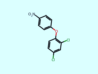 O=[N+]([O-])c1[c]cc(Oc2ccc(Cl)cc2Cl)cc1